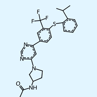 CC(=O)NC1CCN(c2cc(-c3ccc(Sc4ccccc4C(C)C)c(C(F)(F)F)c3)ncn2)C1